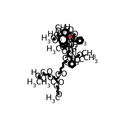 COCCOC(=O)C(C)(COC(=O)CCCC(=O)O[C@@H](C(=O)O[C@H]1C[C@@]2(O)[C@@H](OC(=O)c3ccccc3)[C@@H]3[C@]4(OC(C)=O)CO[C@@H]4C[C@H](OC)[C@@]3(C)C(=O)[C@H](OC)C(=C1C)C2(C)C)[C@@H](NC(=O)OC(C)(C)C)c1ccccc1)COC(=O)C(C)OC(C)=O